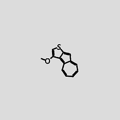 COc1csc2cc3cccccc-3c12